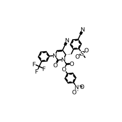 CS(=O)(=O)c1cc(C#N)ccc1C[C@H]1C(C#N)=CN(c2cccc(C(F)(F)F)c2)C(=O)N1C(=O)Oc1ccc([N+](=O)[O-])cc1